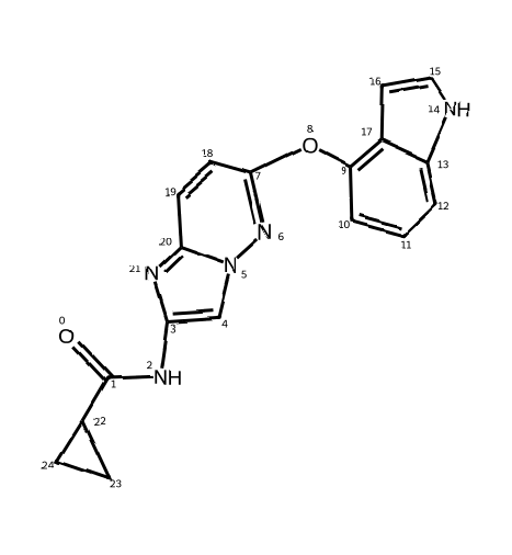 O=C(Nc1cn2nc(Oc3cccc4[nH]ccc34)ccc2n1)C1CC1